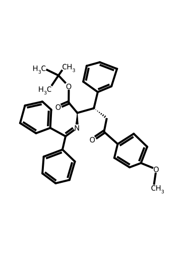 COc1ccc(C(=O)C[C@@H](c2ccccc2)[C@@H](N=C(c2ccccc2)c2ccccc2)C(=O)OC(C)(C)C)cc1